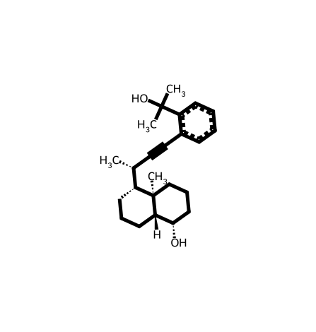 C[C@H](C#Cc1ccccc1C(C)(C)O)[C@H]1CCC[C@H]2[C@@H](O)CCC[C@]12C